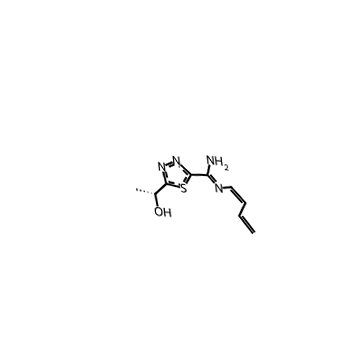 C=C/C=C\N=C(/N)c1nnc([C@@H](C)O)s1